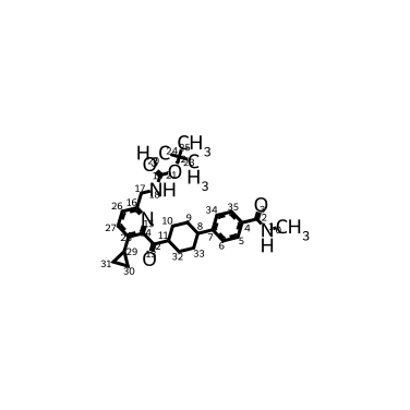 CNC(=O)c1ccc(C2CCC(C(=O)c3nc(CNC(=O)OC(C)(C)C)ccc3C3CC3)CC2)cc1